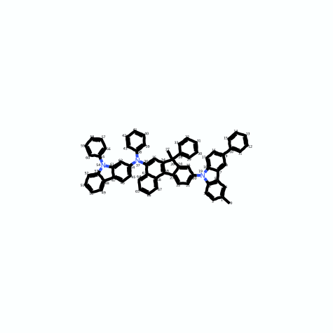 Cc1ccc2c(c1)c1cc(-c3ccccc3)ccc1n2-c1ccc2c(c1)C(C)(c1ccccc1)c1cc(N(c3ccccc3)c3ccc4c5ccccc5n(-c5ccccc5)c4c3)c3ccccc3c1-2